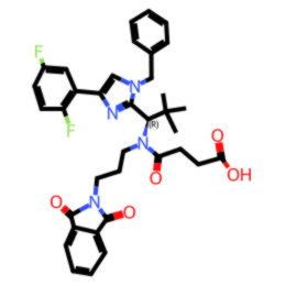 CC(C)(C)[C@H](c1nc(-c2cc(F)ccc2F)cn1Cc1ccccc1)N(CCCN1C(=O)c2ccccc2C1=O)C(=O)CCC(=O)O